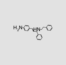 Nc1ccc(/C=C/C(NCCc2ccccc2)c2ccccc2)cc1